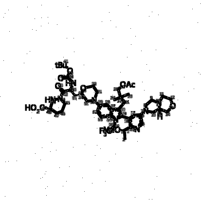 CO[C@@H](C)c1ncc(N2CCN3CCOC[C@@H]3C2)cc1-c1c(CC(C)(C)COC(C)=O)c2cc(N3CCO[C@@H](C[C@H](NC(=O)OC(C)(C)C)C(=O)N4CCC[C@@H](C(=O)O)N4)C3)ccc2n1CC(F)(F)F